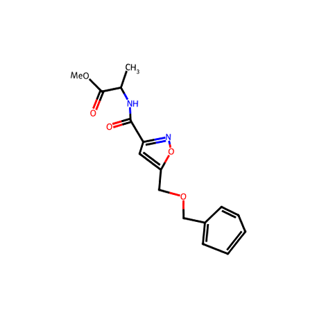 COC(=O)C(C)NC(=O)c1cc(COCc2ccccc2)on1